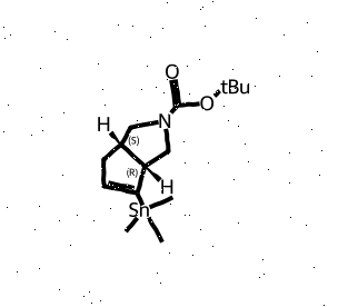 CC(C)(C)OC(=O)N1C[C@H]2CC=[C]([Sn]([CH3])([CH3])[CH3])[C@H]2C1